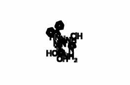 Cl.N[C@H]1C[C@@H](n2cnc3c(NCC(c4ccccc4)c4ccccc4)nc(N[C@H]4CCNC4)nc32)[C@H](O)[C@@H]1O